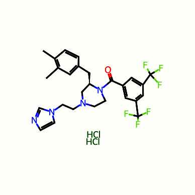 Cc1ccc(C[C@@H]2CN(CCn3ccnc3)CCN2C(=O)c2cc(C(F)(F)F)cc(C(F)(F)F)c2)cc1C.Cl.Cl